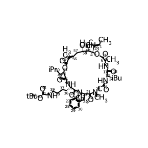 C/C=C(\C)[C@H]1OC(=O)[C@@H](C)NC(=O)[C@H]([C@H](C)CC)NC(=O)CN(C)C(=O)[C@@H](Cc2ccccc2)N(C)C(=O)[C@H](CCCCNC(=O)OC(C)(C)C)NC(=O)[C@@H](CC(C)C)OC(=O)/C(C)=C/C[C@H](O)[C@@H]1C